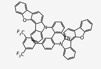 N#Cc1cccc(-n2c3ccccc3c3c4oc5ccccc5c4ccc32)c1-c1cc(-c2cc(C(F)(F)F)cc(C(F)(F)F)c2)ccc1-n1c2ccccc2c2c3oc4ccccc4c3ccc21